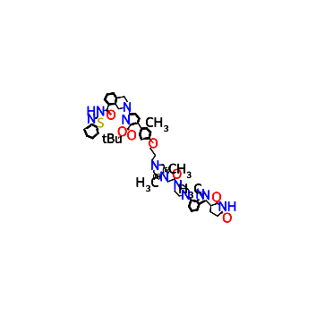 Cc1cc(OCCCN2C[C@@H](C)N(CC(=O)N3CCN(c4cccc5c(C6CCC(=O)NC6=O)nn(C)c45)CC3)[C@@H](C)C2)ccc1-c1ccc(N2CCc3cccc(C(=O)Nc4nc5ccccc5s4)c3C2)nc1C(=O)OC(C)(C)C